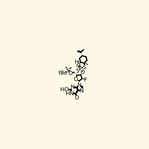 C=C(C)[C@@H]1CC[C@]2(C)S[P@@](=S)(O[C@H]3[C@@H](F)[C@H](n4cnc5c(=O)[nH]c(O)nc54)O[C@@H]3CO[Si](C)(C)C(C)(C)C)O[C@H]2C1